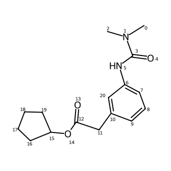 CN(C)C(=O)Nc1cccc(CC(=O)OC2CCCC2)c1